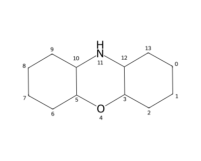 C1CCC2OC3CCCCC3NC2C1